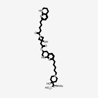 CC(=O)N[C@@H](C(=O)O)C1(O)CCN(CCCCCc2ccc3c(n2)NCC(OC(=O)CC2(O)CN(C(=O)CCCCc4ccc5c(n4)NCCC5)C2)C3)CC1